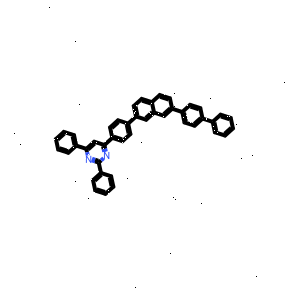 c1ccc(-c2ccc(-c3ccc4ccc(-c5ccc(-c6cc(-c7ccccc7)nc(-c7ccccc7)n6)cc5)cc4c3)cc2)cc1